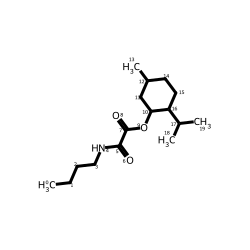 CCCCNC(=O)C(=O)OC1CC(C)CCC1C(C)C